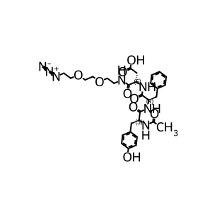 CC(=O)N[C@@H](Cc1ccc(O)cc1)C(=O)N[C@H](Cc1ccccc1)C(=O)N[C@@H](CC(=O)O)C(=O)NCCOCCOCCN=[N+]=[N-]